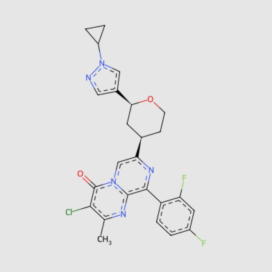 Cc1nc2c(-c3ccc(F)cc3F)nc([C@@H]3CCO[C@H](c4cnn(C5CC5)c4)C3)cn2c(=O)c1Cl